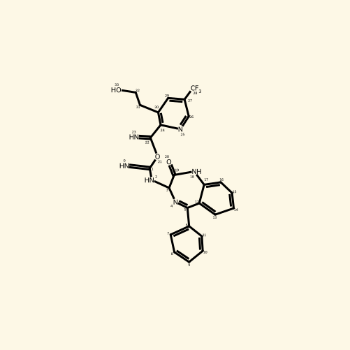 N=C(NC1N=C(c2ccccc2)c2ccccc2NC1=O)OC(=N)c1ncc(C(F)(F)F)cc1CCO